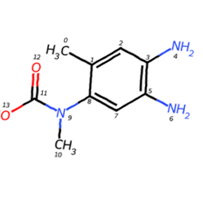 Cc1cc(N)c(N)cc1N(C)C(=O)O